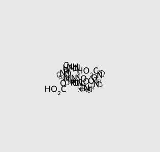 CC[C@H](C)[C@H](NC(=O)[C@H](Cc1c[nH]cn1)NC(=O)[C@H](CCC(=O)O)NC(=O)[C@@H]1CCCN1C(=O)[C@@H]1CCCN1)C(=O)N1CCC[C@H]1C(=O)N1CCC[C@H]1C(=O)N1CCC[C@H]1C(=O)O